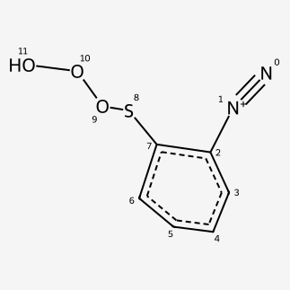 N#[N+]c1ccccc1SOOO